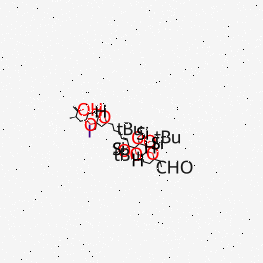 C=C(O)[C@H](C)CC1CC[C@@H]2O[C@@H](CCC/C=C/[C@H](O[Si](C)(C)C(C)(C)C)[C@@H]3O[C@H]4CCC(CC=O)O[C@@H]4C(O[Si](C)(C)C(C)(C)C)C3O[Si](C)(C)C(C)(C)C)C[C@]2(CI)O1